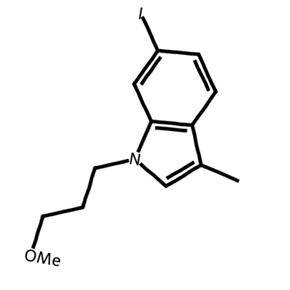 COCCCn1cc(C)c2ccc(I)cc21